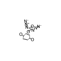 O=C1C=CC(=O)C=C1.[N-]=[N+]=NS(=O)(=O)N=[N+]=[N-]